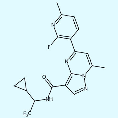 Cc1ccc(-c2cc(C)n3ncc(C(=O)NC(C4CC4)C(F)(F)F)c3n2)c(F)n1